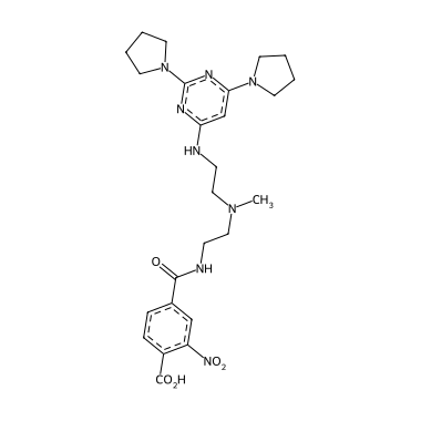 CN(CCNC(=O)c1ccc(C(=O)O)c([N+](=O)[O-])c1)CCNc1cc(N2CCCC2)nc(N2CCCC2)n1